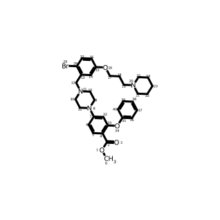 COC(=O)c1ccc(N2CCN(Cc3cc(OCCCN4CCCCC4)ccc3Br)CC2)cc1Oc1ccccc1